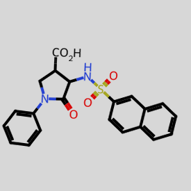 O=C(O)C1CN(c2ccccc2)C(=O)C1NS(=O)(=O)c1ccc2ccccc2c1